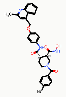 Cc1cc(COc2ccc(NC(=O)[C@H]3CCN(C(=O)c4ccc(C#N)cc4)C[C@@H]3C(=O)NO)cc2)c2ccccc2n1